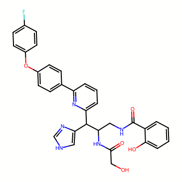 O=C(CO)NC(CNC(=O)c1ccccc1O)C(c1c[nH]cn1)c1cccc(-c2ccc(Oc3ccc(F)cc3)cc2)n1